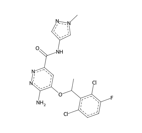 CC(Oc1cc(C(=O)Nc2cnn(C)c2)nnc1N)c1c(Cl)ccc(F)c1Cl